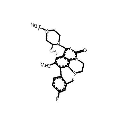 COc1cc2c(N3CCN(C(=O)O)C[C@@H]3C)nc(=O)n3c2c(c1-c1ccc(F)cc1F)SCC3